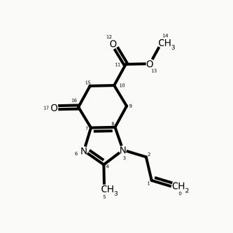 C=CCn1c(C)nc2c1CC(C(=O)OC)CC2=O